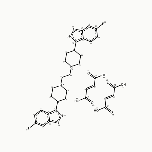 Fc1ccc2c(C3CCN(CCN4CCC(c5noc6cc(F)ccc56)CC4)CC3)noc2c1.O=C(O)/C=C/C(=O)O.O=C(O)/C=C/C(=O)O